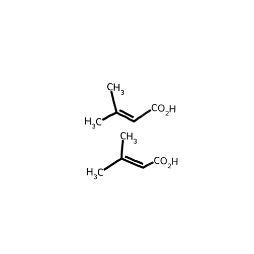 CC(C)=CC(=O)O.CC(C)=CC(=O)O